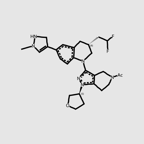 CC(=O)N1CCc2c(c(N3C[C@@H](CC(F)F)Cc4cc(C5=CN(C)NC5)ccc43)nn2[C@H]2CCOC2)C1